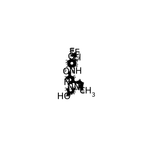 Cn1ccc(-c2cc(C(=O)Nc3ccc(OC(F)(F)Cl)cc3)cnc2N2CCC(O)C2)n1